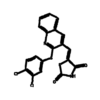 O=C1NC(=O)C(=Cc2cc3ccccc3nc2Sc2ccc(Cl)c(Cl)c2)S1